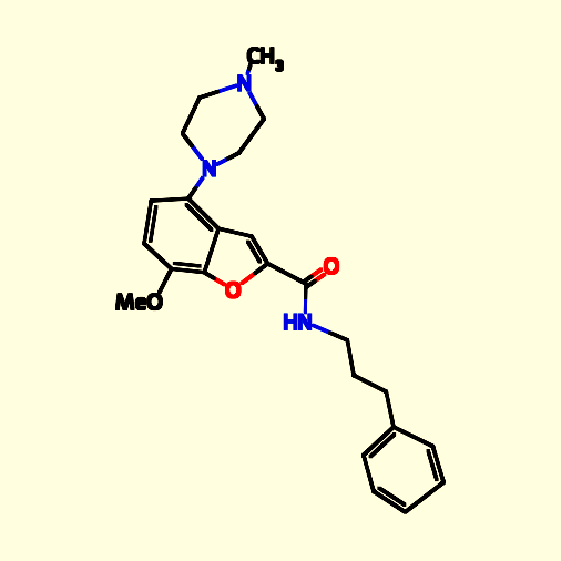 COc1ccc(N2CCN(C)CC2)c2cc(C(=O)NCCCc3ccccc3)oc12